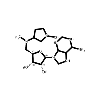 CN1CCC(N(C)C[C@H]2O[C@@H](N3CNC4C(N)NCNC43)[C@H](O)[C@@H]2O)C1